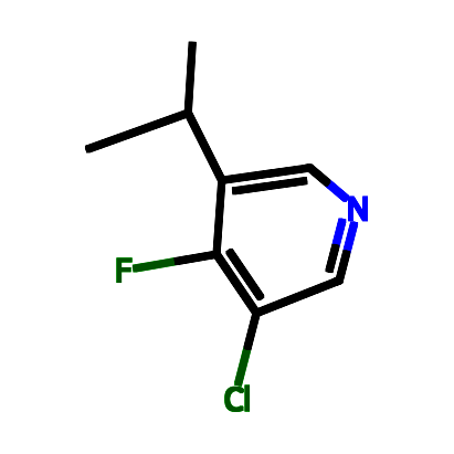 CC(C)c1cncc(Cl)c1F